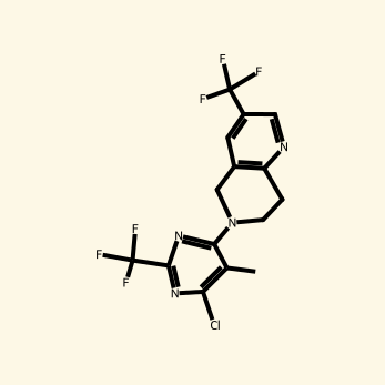 Cc1c(Cl)nc(C(F)(F)F)nc1N1CCc2ncc(C(F)(F)F)cc2C1